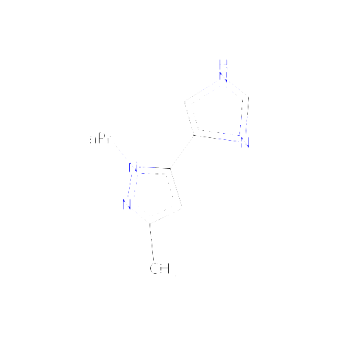 CCCn1nc(C)cc1-c1c[nH]cn1